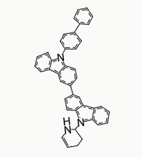 C1=CNC(n2c3ccccc3c3cc(-c4ccc5c(c4)c4ccccc4n5-c4ccc(-c5ccccc5)cc4)ccc32)CC1